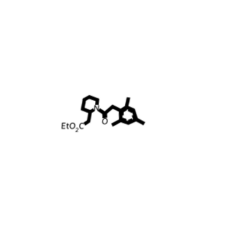 CCOC(=O)CC1CCCCN1C(=O)Cc1c(C)cc(C)cc1C